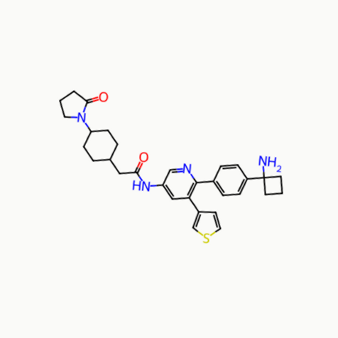 NC1(c2ccc(-c3ncc(NC(=O)CC4CCC(N5CCCC5=O)CC4)cc3-c3ccsc3)cc2)CCC1